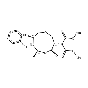 C[C@@H]1OC(=O)[C@@H](N(C(=O)OC(C)(C)C)C(=O)OC(C)(C)C)COC[C@H](O)[C@H]1Oc1ccccc1